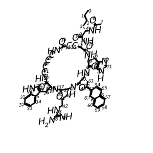 CCCC[C@H](NC(C)=O)C(=O)N[C@H]1CCC(=O)NCCCCNC(=O)C(Cc2c[nH]c3ccccc23)NC(=O)[C@H](CCCNC(=N)N)NC(=O)[C@@H](CCc2ccc3ccccc3c2)NC(=O)[C@H](Cc2c[nH]cn2)NC1=O